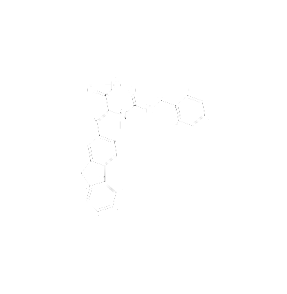 O=C(NC(=Cc1ccc2c(c1)Cc1ccccc1-2)C(=O)O)OCc1ccccc1